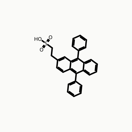 O=S(=O)(O)CCc1ccc2c(-c3ccccc3)c3ccccc3c(-c3ccccc3)c2c1